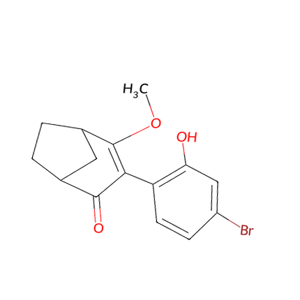 COC1=C(c2ccc(Br)cc2O)C(=O)C2CCC1C2